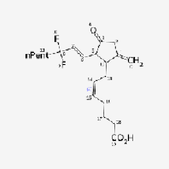 C=C1CC(=O)C(C=CC(F)(F)CCCCC)C1C/C=C\CCCC(=O)O